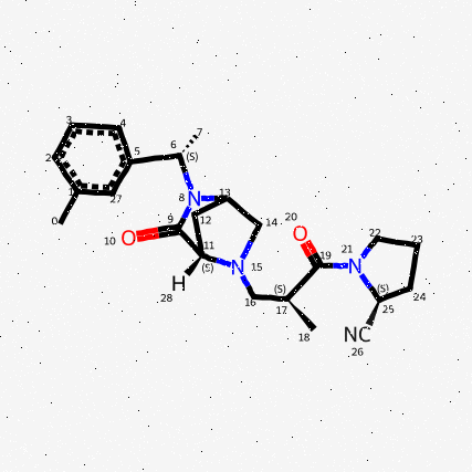 Cc1cccc([C@H](C)N2C(=O)[C@@H]3CC2CN3C[C@H](C)C(=O)N2CCC[C@H]2C#N)c1